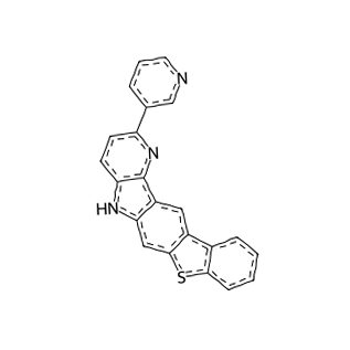 c1cncc(-c2ccc3[nH]c4cc5sc6ccccc6c5cc4c3n2)c1